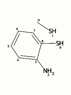 CS.Nc1ccccc1S